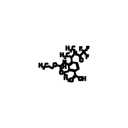 CCOC(=O)Nc1c(C(C)N(C)C(=O)C(F)(F)F)ccc(C(=O)O)c1C